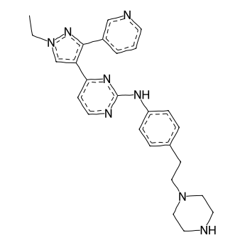 CCn1cc(-c2ccnc(Nc3ccc(CCN4CCNCC4)cc3)n2)c(-c2cccnc2)n1